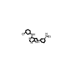 CCNc1cccc(-c2cc3c(Nc4cccc(Cl)c4)ncnc3[nH]2)c1